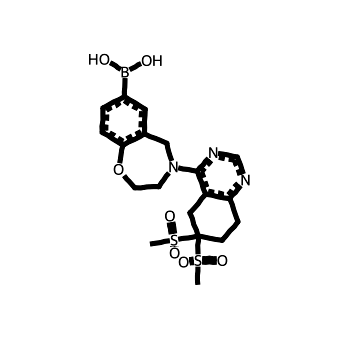 CS(=O)(=O)C1(S(C)(=O)=O)CCc2ncnc(N3CCOc4ccc(B(O)O)cc4C3)c2C1